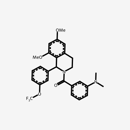 COc1cc2c(c(OC)c1)C(c1cccc(OC(F)(F)F)c1)N(C(=O)c1cccc(N(C)C)c1)CC2